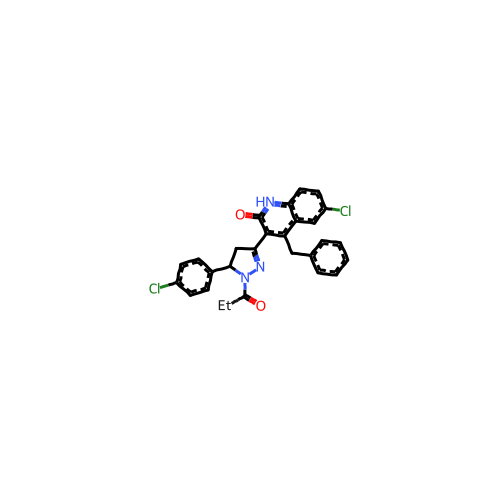 CCC(=O)N1N=C(c2c(Cc3ccccc3)c3cc(Cl)ccc3[nH]c2=O)CC1c1ccc(Cl)cc1